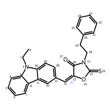 CCn1c2ccccc2c2cc(/C=C3/OC(=S)N(CCc4ccccc4)C3=O)ccc21